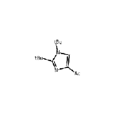 CC(=O)c1cn(C(C)(C)C)c(C(C)(C)C)n1